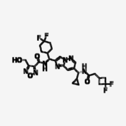 O=C(CC1CC(F)(F)C1)N[C@@H](c1cnn2cc([C@@H](NC(=O)c3nonc3CO)C3CCC(F)(F)CC3)nc2c1)C1CC1